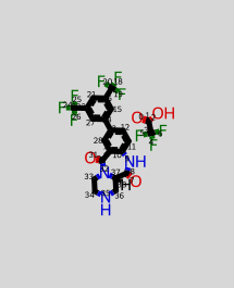 O=C(O)C(F)(F)F.O=C1Nc2ccc(-c3cc(C(F)(F)F)cc(C(F)(F)F)c3)cc2C(=O)N2CCNC[C@@H]12